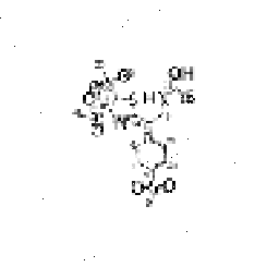 CS(=O)(=O)c1ccc(C(CNC(O)=S)C2=NC(S(C)(=O)=O)C(S(C)(=O)=O)S2)cc1